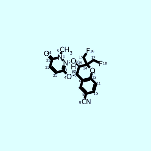 Cn1nc(O[C@H]2c3cc(C#N)ccc3OC(CF)(CF)[C@@H]2O)ccc1=O